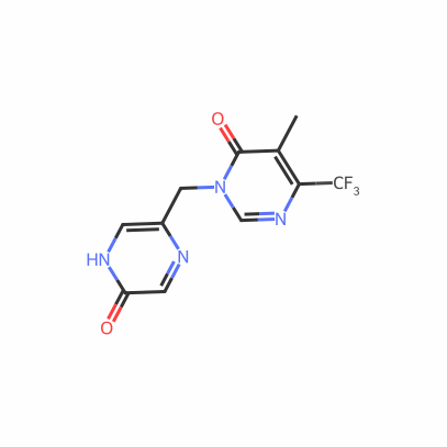 Cc1c(C(F)(F)F)ncn(Cc2c[nH]c(=O)cn2)c1=O